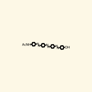 CC(=O)Nc1ccc(N=Nc2ccc(N=Nc3ccc(N=Nc4ccc(O)cc4)cc3)cc2)cc1